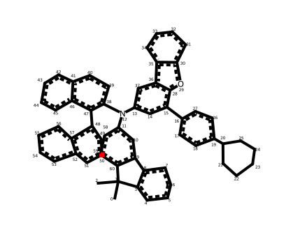 CC1(C)c2ccccc2-c2cc(N(c3cc(-c4ccc(C5CCCCC5)cc4)c4oc5ccccc5c4c3)c3ccc4ccccc4c3-c3cccc4ccccc34)ccc21